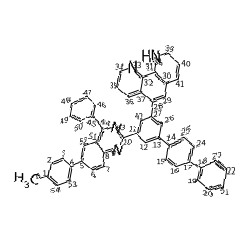 Cc1ccc(-c2ccc3nc(-c4cc(-c5ccc(-c6ccccc6)cc5)cc(-c5cc6c(c7ncccc57)NCC=C6)c4)nc(-c4ccccc4)c3c2)cc1